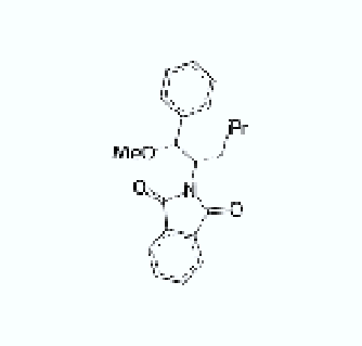 CO[C@H](c1ccccc1)[C@H](CC(C)C)N1C(=O)c2ccccc2C1=O